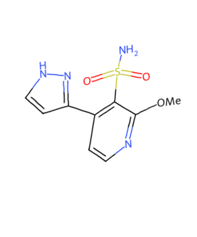 COc1nccc(-c2cc[nH]n2)c1S(N)(=O)=O